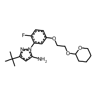 CC(C)(C)c1cc(N)n(-c2cc(OCCOC3CCCCO3)ccc2F)n1